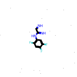 N=CC(=N)Nc1cc(F)c(F)cc1F